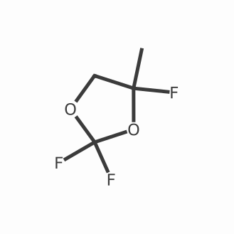 CC1(F)COC(F)(F)O1